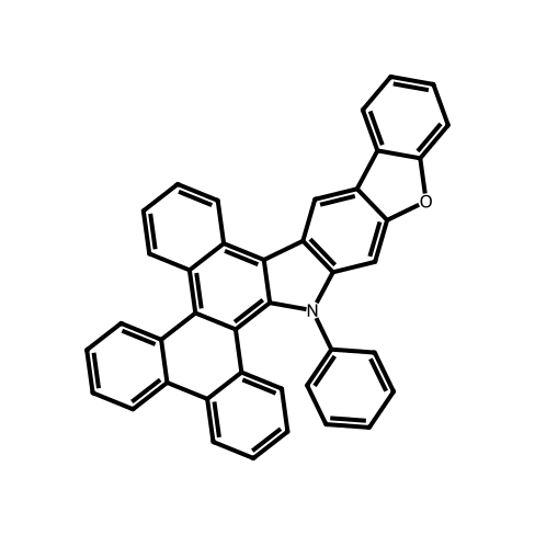 c1ccc(-n2c3cc4oc5ccccc5c4cc3c3c4ccccc4c4c5ccccc5c5ccccc5c4c32)cc1